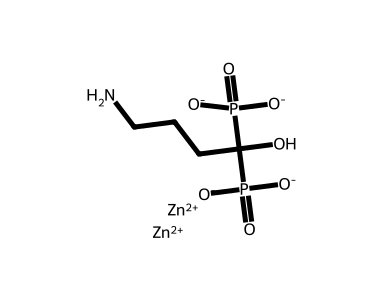 NCCCC(O)(P(=O)([O-])[O-])P(=O)([O-])[O-].[Zn+2].[Zn+2]